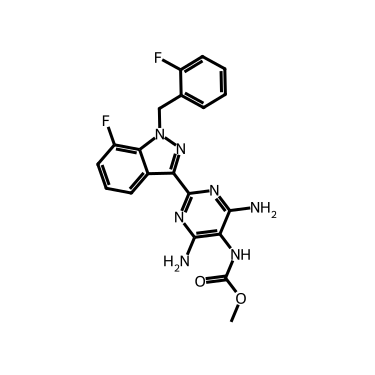 COC(=O)Nc1c(N)nc(-c2nn(Cc3ccccc3F)c3c(F)cccc23)nc1N